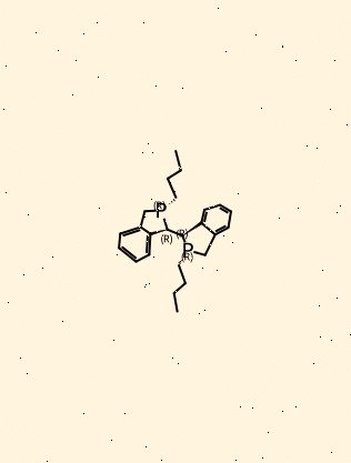 CCCC[P@@]1Cc2ccccc2[C@@H]1[C@H]1c2ccccc2C[P@]1CCCC